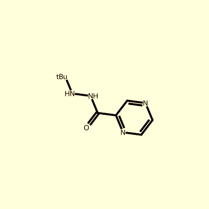 CC(C)(C)NNC(=O)c1cnccn1